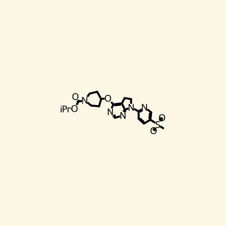 CC(C)OC(=O)N1CCC(Oc2ncnc3c2CCN3c2ccc(S(C)(=O)=O)cn2)CC1